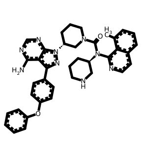 Cc1cccc2ccnc(N(C(=O)N3CCC[C@@H](n4nc(-c5ccc(Oc6ccccc6)cc5)c5c(N)ncnc54)C3)[C@@H]3CCCNC3)c12